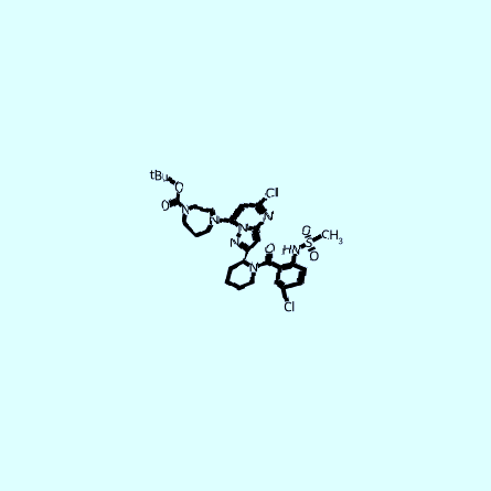 CC(C)(C)OC(=O)N1CCCN(c2cc(Cl)nc3cc([C@@H]4CCCCN4C(=O)c4cc(Cl)ccc4NS(C)(=O)=O)nn23)CC1